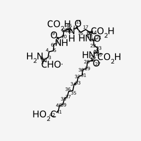 N[C@H]([C]=O)CCCCNC(=O)CC[C@H](NC(=O)CC[C@H](NC(=O)CC[C@H](NC(=O)CCCCCCCCCCCCCCC(=O)O)C(=O)O)C(=O)O)C(=O)O